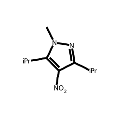 CC(C)c1nn(C)c(C(C)C)c1[N+](=O)[O-]